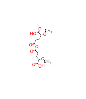 COC(CCC(=O)OC(=O)CCC(OC)C(=O)O)C(=O)O